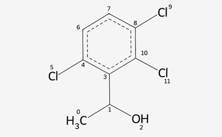 CC(O)c1c(Cl)ccc(Cl)c1Cl